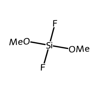 CO[Si](F)(F)OC